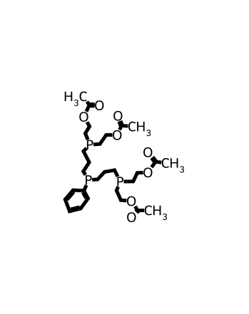 CC(=O)OCCP(CCCP(CCCP(CCOC(C)=O)CCOC(C)=O)c1ccccc1)CCOC(C)=O